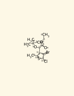 CCOC(=O)C(OC(C)(C)C)c1c(C)sc(Cl)c1Br